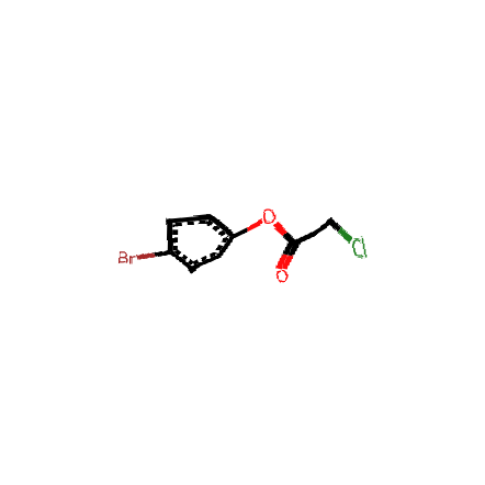 O=C(CCl)Oc1ccc(Br)cc1